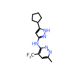 Cc1cc(C(F)(F)F)c(Nc2cc(C3CCCC3)[nH]n2)nn1